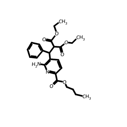 CCCCOC(=O)c1ccc(C(c2ccccc2)C(C(=O)OCC)C(=O)OCC)c(N)n1